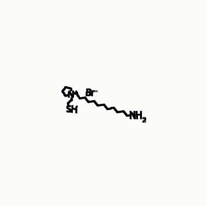 NCCCCCCCCCCCC[N+]1(CCS)CCCC1.[Br-]